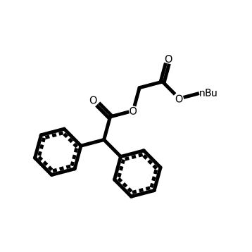 CCCCOC(=O)COC(=O)C(c1ccccc1)c1ccccc1